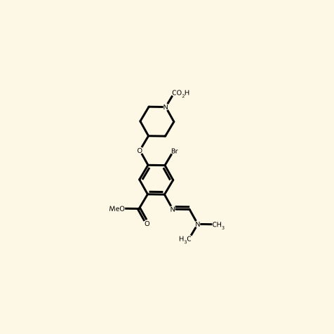 COC(=O)c1cc(OC2CCN(C(=O)O)CC2)c(Br)cc1/N=C/N(C)C